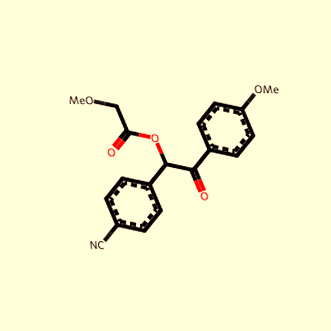 COCC(=O)OC(C(=O)c1ccc(OC)cc1)c1ccc(C#N)cc1